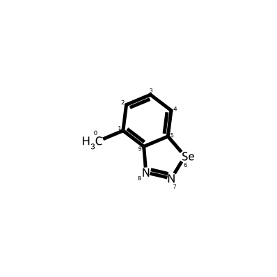 Cc1cccc2[se]nnc12